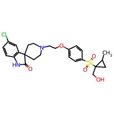 CC1CC1(CO)S(=O)(=O)c1ccc(OCCN2CCC3(CC2)C(=O)Nc2ccc(Cl)cc23)cc1